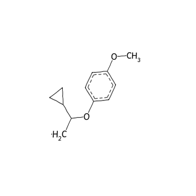 [CH2]C(Oc1ccc(OC)cc1)C1CC1